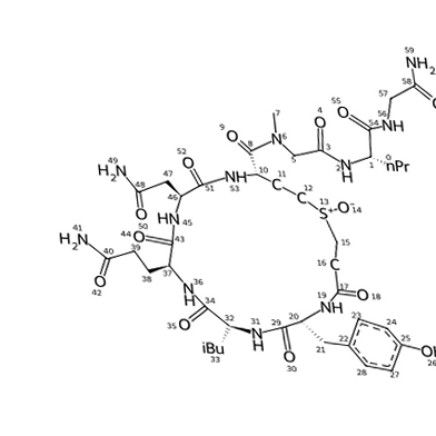 CCC[C@H](NC(=O)CN(C)C(=O)[C@@H]1CC[S+]([O-])CCC(=O)N[C@H](Cc2ccc(O)cc2)C(=O)N[C@@H]([C@@H](C)CC)C(=O)N[C@@H](CCC(N)=O)C(=O)N[C@@H](CC(N)=O)C(=O)N1)C(=O)NCC(N)=O